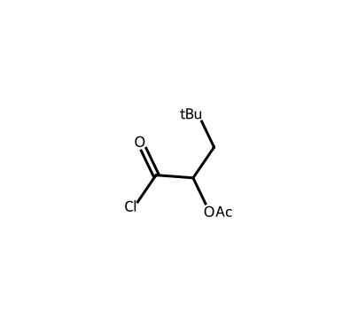 CC(=O)OC(CC(C)(C)C)C(=O)Cl